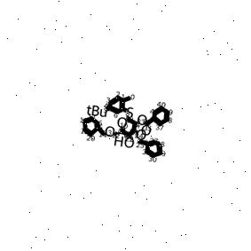 Cc1ccc(C(C)(C)C)cc1S[C@@H]1O[C@H](COCc2ccccc2)[C@@H](O)[C@H](OCc2ccccc2)[C@H]1OC(=O)c1ccccc1